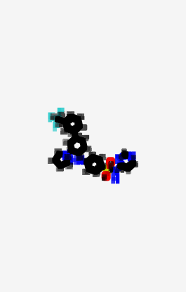 O=S(=O)(Nc1ccncn1)c1ccc(NC2CCC(c3cccc(C(F)(F)F)c3)CC2N2CCCC2)cc1